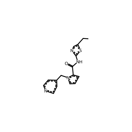 CCc1cnc(NC(=O)c2cccn2Cc2ccncc2)s1